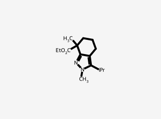 CCOC(=O)C1(C)CCCc2c1nn(C)c2C(C)C